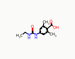 CCNC(=O)Nc1cc(C)c(C(=O)O)c(C)c1